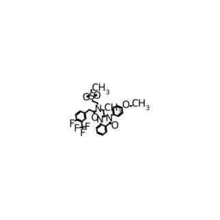 CCOc1ccc(-n2c([C@@H](C)N(CCS(=O)(=O)CC)C(=O)Cc3ccc(F)c(C(F)(F)F)c3)nc3ccccc3c2=O)cc1